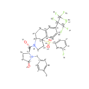 Cc1ccc(CN2C(=O)CC[C@H]2C(=O)N2CCC3(S(=O)(=O)c4cccc(F)c4)c4ccc(C(F)(C(F)(F)F)C(F)(F)F)cc4CCC23)cc1